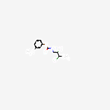 Cc1cccc(SC(=O)NCC(Cl)C(C)Cl)c1